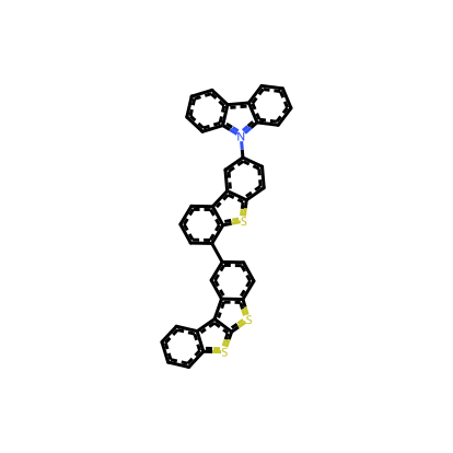 c1ccc2c(c1)sc1sc3ccc(-c4cccc5c4sc4ccc(-n6c7ccccc7c7ccccc76)cc45)cc3c12